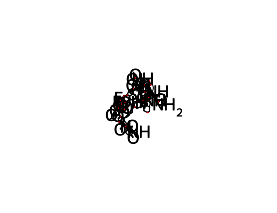 COC(=O)N1CC[C@H]2CC[C@@H](C(=O)N[C@@H](CCC(N)=O)C(=O)N[C@H](C(=O)N3CCC(CCC#Cc4cccc5c4CN(C4CCC(=O)NC4=O)C5=O)CC3)C3CCCCC3)N2C(=O)[C@@H](NC(=O)c2cc3cc(C(F)(F)P(=O)(OCOC(=O)OC(C)C)OCOC(=O)OC(C)C)ccc3s2)C1